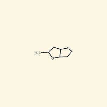 CC1CC2OCCC2O1